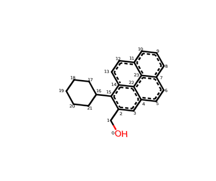 OCc1cc2ccc3cccc4ccc(c1C1CCCCC1)c2c34